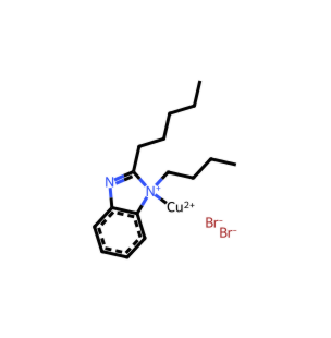 CCCCCC1=Nc2ccccc2[N+]1([Cu+2])CCCC.[Br-].[Br-]